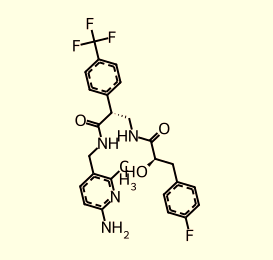 Cc1nc(N)ccc1CNC(=O)[C@@H](CNC(=O)[C@H](O)Cc1ccc(F)cc1)c1ccc(C(F)(F)F)cc1